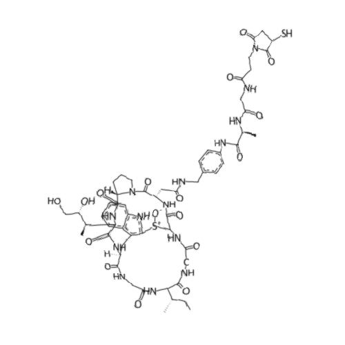 CC[C@H](C)C1NC(=O)CNC(=O)[C@@H]2Cc3c([nH]c4ccccc34)[S+]([O-])C(NC(=O)CNC1=O)C(=O)N[C@@H](CC(=O)NCc1ccc(NC(=O)[C@H](C)NC(=O)CNC(=O)CCN3C(=O)CC(S)C3=O)cc1)C(=O)N1CCC[C@H]1C(=O)NC([C@@H](C)[C@@H](O)CO)C(=O)N2